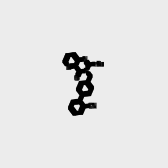 CCCCc1nc2cccnc2c(=O)n1Cc1ccc(-c2ccccc2C#N)cc1